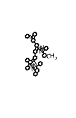 CC1C=CC=C(c2nc(-n3c4ccc(-c5ccc6c(c5)c5ccccc5n6-c5ccccc5)cc4c4ccc(-c5ccc6sc7c(c6c5)c5ccccc5c5c6ccccc6n(-c6nc(-c8ccccc8)c8ccc9ccccc9c8n6)c75)cc43)nc3ccccc23)C1